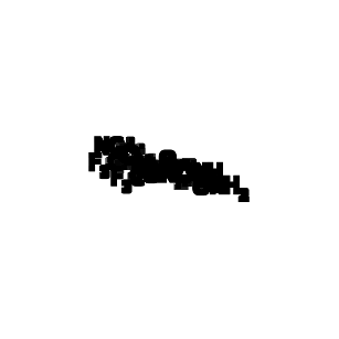 N#Cc1ccc(N2C[C@@H](C(=O)Nc3ccc(NC(=O)CN)cc3)O[C@@H]2C(F)(F)F)cc1C(F)(F)F